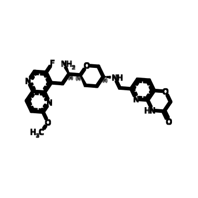 COc1ccc2ncc(F)c(C[C@@H](N)[C@@H]3CC[C@@H](NCc4ccc5c(n4)NC(=O)CO5)CO3)c2n1